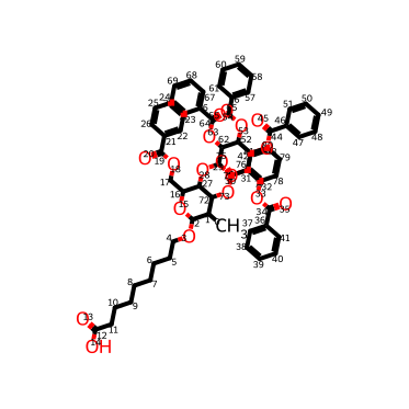 CC1C(OCCCCCCCCC(=O)O)OC(COC(=O)c2ccccc2)C(OC2OC(COC(=O)c3ccccc3)C(OC(=O)c3ccccc3)C(OC(=O)c3ccccc3)C2OC(=O)c2ccccc2)C1OC(=O)c1ccccc1